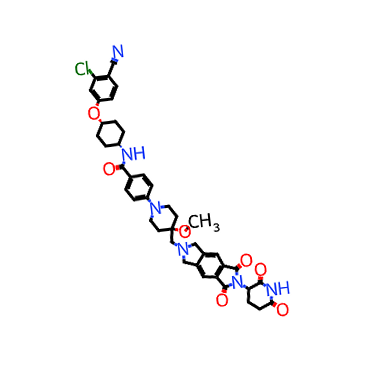 COC1(CN2Cc3cc4c(cc3C2)C(=O)N(C2CCC(=O)NC2=O)C4=O)CCN(c2ccc(C(=O)N[C@H]3CC[C@H](Oc4ccc(C#N)c(Cl)c4)CC3)cc2)CC1